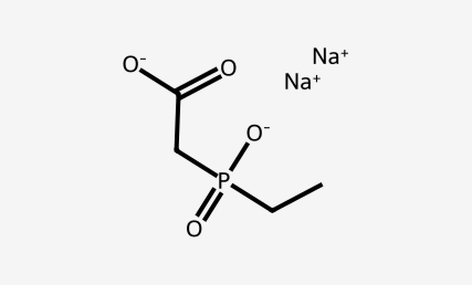 CCP(=O)([O-])CC(=O)[O-].[Na+].[Na+]